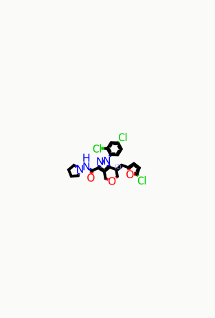 O=C(NN1CCCC1)c1nn(-c2ccc(Cl)cc2Cl)c2c1COC/C2=C\c1ccc(Cl)o1